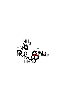 COc1cc2c(cc1OC)C(CCNC(=O)Nc1cc(Nc3ccccc3CN)ccn1)(Cc1ccc(F)cc1)NCC2